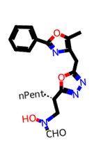 CCCCC[C@@H](CN(O)C=O)c1nnc(Cc2nc(-c3ccccc3)oc2C)o1